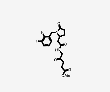 COC(=O)CCC(=O)CNC(=O)CC1CCC(=O)N1Cc1cccc(F)c1F